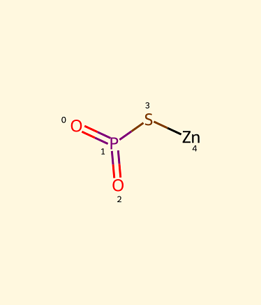 O=P(=O)[S][Zn]